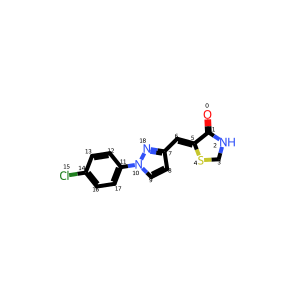 O=C1NCS/C1=C\c1ccn(-c2ccc(Cl)cc2)n1